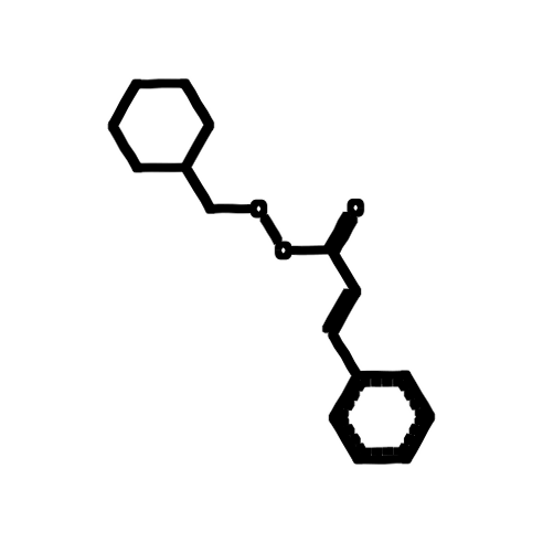 O=C(/C=C/c1ccccc1)OOCC1CCCCC1